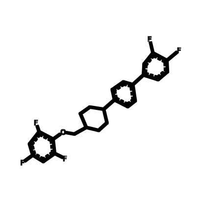 Fc1cc(F)c(OCC2CCC(c3ccc(-c4ccc(F)c(F)c4)cc3)CC2)c(F)c1